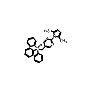 Cc1ccc(C)n1-c1ncc(CP(Br)(c2ccccc2)(c2ccccc2)c2ccccc2)cn1